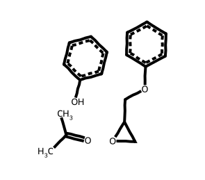 CC(C)=O.Oc1ccccc1.c1ccc(OCC2CO2)cc1